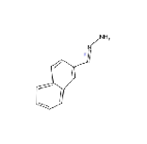 N/N=C/c1ccc2ccccc2c1